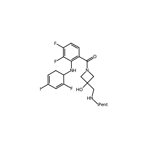 CCCC(C)NCC1(O)CN(C(=O)c2ccc(F)c(F)c2NC2CC=C(I)C=C2F)C1